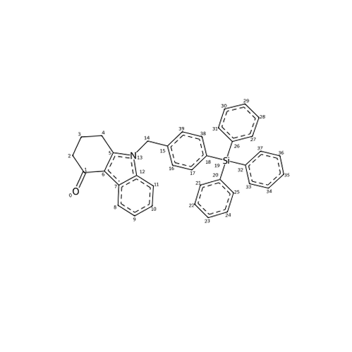 O=C1CCCc2c1c1ccccc1n2Cc1ccc([Si](c2ccccc2)(c2ccccc2)c2ccccc2)cc1